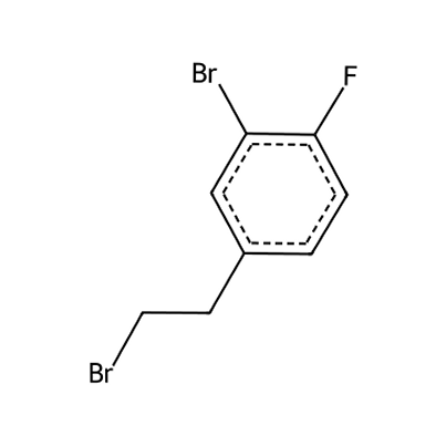 Fc1ccc(CCBr)cc1Br